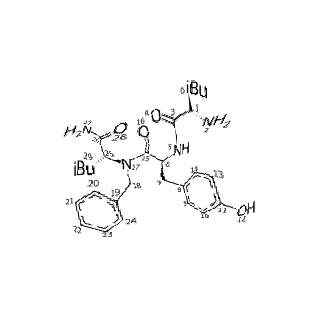 CC[C@H](C)[C@H](N)C(=O)N[C@@H](Cc1ccc(O)cc1)C(=O)N(Cc1ccccc1)[C@H](C(N)=O)[C@@H](C)CC